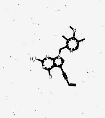 C=CC#Cc1cn(Cc2ncc(C)c(OC)c2C)c2nc(N)nc(Cl)c12